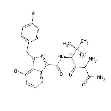 CC(C)(C)[C@H](NC(=O)c1nn(Cc2ccc(F)cc2)c2c(Cl)cccc12)C(=O)C(N)C(N)=O